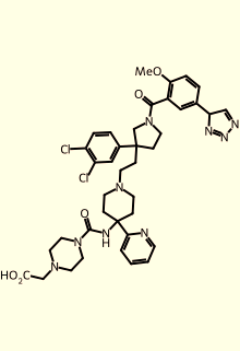 COc1ccc(C2C=NN=N2)cc1C(=O)N1CCC(CCN2CCC(NC(=O)N3CCN(CC(=O)O)CC3)(c3ccccn3)CC2)(c2ccc(Cl)c(Cl)c2)C1